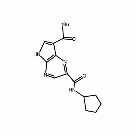 CC(C)(C)C(=O)c1c[nH]c2ncc(C(=O)NC3CCCC3)nc12